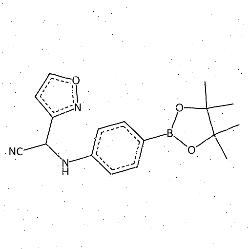 CC1(C)OB(c2ccc(NC(C#N)c3ccon3)cc2)OC1(C)C